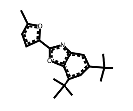 Cc1ccc(-c2nc3cc(C(C)(C)C)cc(C(C)(C)C)c3o2)o1